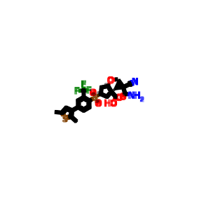 CO[C@@H]1C[C@H](S(=O)(=O)c2ccc(-c3cc(C)sc3C)cc2C(F)(F)F)C[C@@]1(C(=O)O)C1CC1(C#N)C(N)=O